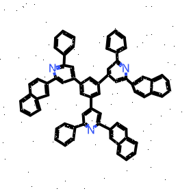 c1ccc(-c2cc(-c3cc(-c4cc(-c5ccccc5)nc(-c5ccc6ccccc6c5)c4)cc(-c4cc(-c5ccccc5)nc(-c5ccc6ccccc6c5)c4)c3)cc(-c3ccc4ccccc4c3)n2)cc1